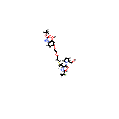 COc1cc(OCCOCCCSC(C)(C)C(NC(=O)C2(F)CC2)C(=O)N2CCCC2C=O)ccc1NC(=O)OC(C)(C)C